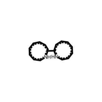 c1ccc[nH]c(-c2ccccccc[nH]2)ccc1